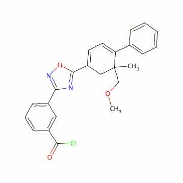 COCC1(C)CC(c2nc(-c3cccc(C(=O)Cl)c3)no2)=CC=C1c1ccccc1